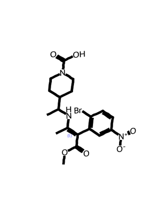 COC(=O)/C(=C(\C)NC(C)C1CCN(C(=O)O)CC1)c1cc([N+](=O)[O-])ccc1Br